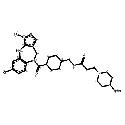 CCCCCCN1CCN(CCC(=O)NCC2CCC(C(=O)N3Cc4cnn(C)c4Nc4cc(Cl)ccc43)CC2)CC1